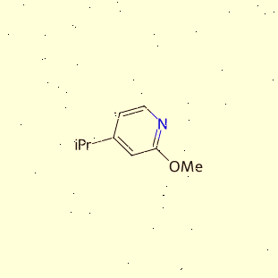 COc1cc(C(C)C)[c]cn1